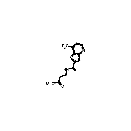 COC(=O)CCNC(=O)c1cc2nccc(C(F)(F)F)c2s1